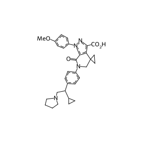 COc1ccc(-n2nc(C(=O)O)c3c2C(=O)N(c2ccc(C(CN4CCCC4)C4CC4)cc2)CC32CC2)cc1